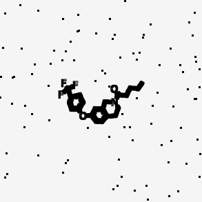 CCCCC(=O)N1CCc2ccc(Oc3ccc(C(F)(F)F)cc3)cc2C1